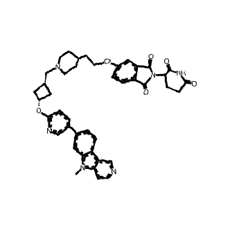 Cn1c2ccncc2c2ccc(-c3ccc(O[C@H]4C[C@H](CN5CCC(CCOc6ccc7c(c6)C(=O)N(C6CCC(=O)NC6=O)C7=O)CC5)C4)nc3)cc21